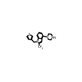 FC(F)(F)c1cc2c(N3CCNCC3)cccc2n1Cc1ccsc1